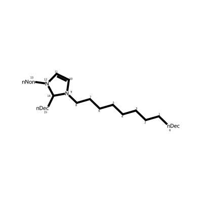 CCCCCCCCCCCCCCCCCCN1C=CN(CCCCCCCCC)C1CCCCCCCCCC